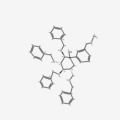 OC1(c2cccc(COP)c2)C[C@H](COCc2ccccc2)[C@@H](OCc2ccccc2)[C@H](OCc2ccccc2)[C@H]1OCc1ccccc1